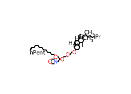 CCCCC/C=C\C/C=C\CCCCCCCCOCC(CN1CCOCC1)OCCOCCO[C@H]1CC[C@@]2(C)C(=CC[C@H]3[C@@H]4CC[C@H]([C@H](C)CCCC(C)C)[C@@]4(C)CC[C@@H]32)C1